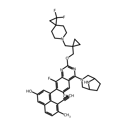 C#Cc1c(C)ccc2cc(O)cc(-c3c(C#N)cc4c(N5CC6CCC(C5)N6)nc(OCC5(CN6CCC7(CC6)CC7(F)F)CC5)nc4c3F)c12